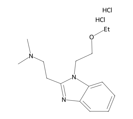 CCOCCn1c(CCN(C)C)nc2ccccc21.Cl.Cl